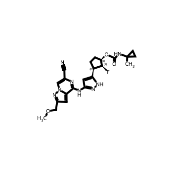 COCc1cc2c(Nc3cc([C@H]4CC[C@@H](OC(=O)NC5(C)CC5)[C@H]4F)[nH]n3)nc(C#N)cn2n1